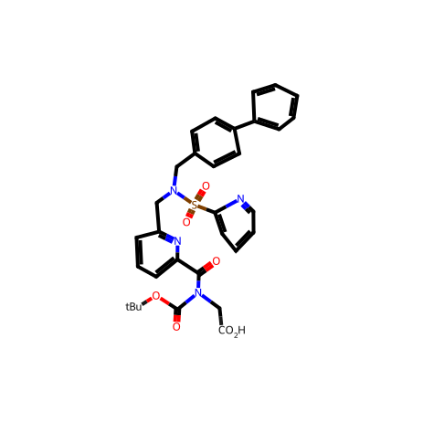 CC(C)(C)OC(=O)N(CC(=O)O)C(=O)c1cccc(CN(Cc2ccc(-c3ccccc3)cc2)S(=O)(=O)c2ccccn2)n1